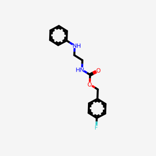 O=C(NCCNc1ccccc1)OCc1ccc(F)cc1